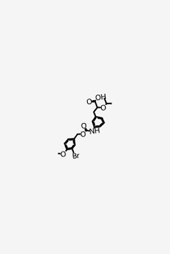 COc1ccc(COC(=O)Nc2cccc(CC(OC(C)C)C(=O)O)c2)cc1Br